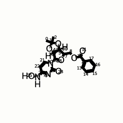 CC1(C)O[C@@H]2[C@H](O1)C(COC(=O)c1ccccc1)O[C@H]2n1ccc(NO)nc1=O